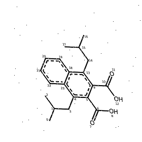 CC(C)Cc1c(C(=O)O)c(C(=O)O)c(CC(C)C)c2ccccc12